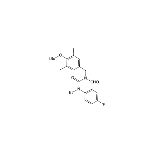 CCN(C(=O)N(C=O)Cc1cc(C)c(OC(C)(C)C)c(C)c1)c1ccc(F)cc1